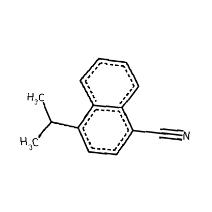 CC(C)c1ccc(C#N)c2ccccc12